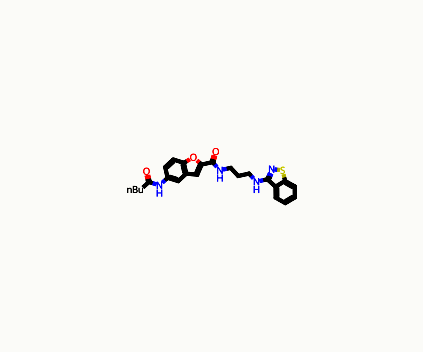 CCCCC(=O)Nc1ccc2oc(C(=O)NCCCNc3nsc4ccccc34)cc2c1